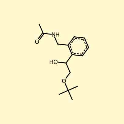 CC(=O)NCc1ccccc1C(O)COC(C)(C)C